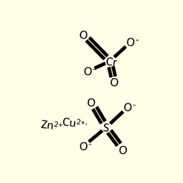 O=S(=O)([O-])[O-].[Cu+2].[O]=[Cr](=[O])([O-])[O-].[Zn+2]